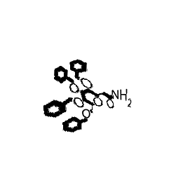 NC(=O)C[C@H]1O[C@H](COCc2ccccc2)[C@@H](OCc2ccccc2)[C@H](OCc2ccccc2)[C@@H]1OCc1ccccc1